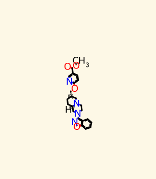 COC(=O)c1ccc(OC[C@@H]2CC[C@H]3CN(c4noc5ccccc45)CCN3C2)nc1